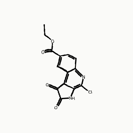 CCOC(=O)c1ccc2nc(Cl)c3c(c2c1)C(=O)C(=O)N3